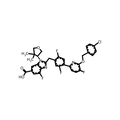 CC1(C)COC[C@H]1n1c(Cc2cc(F)c(-c3ccc(F)c(OCc4ccc(Cl)cc4)n3)cc2F)nc2c(F)cc(C(=O)O)cc21